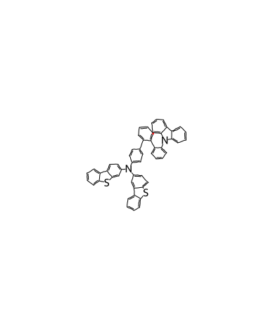 c1ccc(-c2ccccc2-n2c3ccccc3c3ccccc32)c(-c2ccc(N(c3ccc4c(c3)sc3ccccc34)c3ccc4sc5ccccc5c4c3)cc2)c1